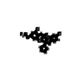 CC(C)(Cc1c(Cl)cc(OC(F)(F)F)cc1Cl)C(=O)C(C)(Cc1ccc(Cl)cc1)n1cncn1